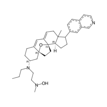 CCCN(CCN(C)O)[C@@H]1CCC2=CC3=CCC4(C)C(c5ccc6ccncc6c5)CC[C@H]4[C@@]34CC[C@]2(C1)O4